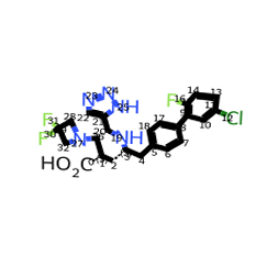 O=C(O)[C@@H](C[C@@H](Cc1ccc(-c2cc(Cl)ccc2F)cc1)NCc1cnn[nH]1)CN1CC(F)(F)C1